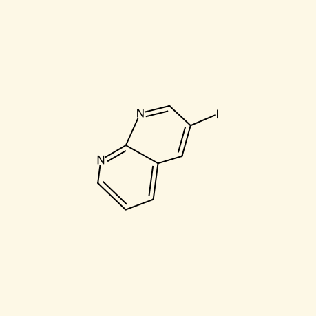 Ic1cnc2ncccc2c1